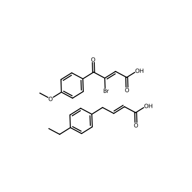 CCc1ccc(CC=CC(=O)O)cc1.COc1ccc(C(=O)C(Br)=CC(=O)O)cc1